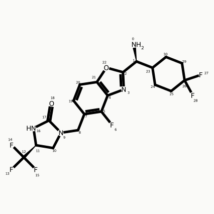 N[C@H](c1nc2c(F)c(CN3C[C@@H](C(F)(F)F)NC3=O)ccc2o1)C1CCC(F)(F)CC1